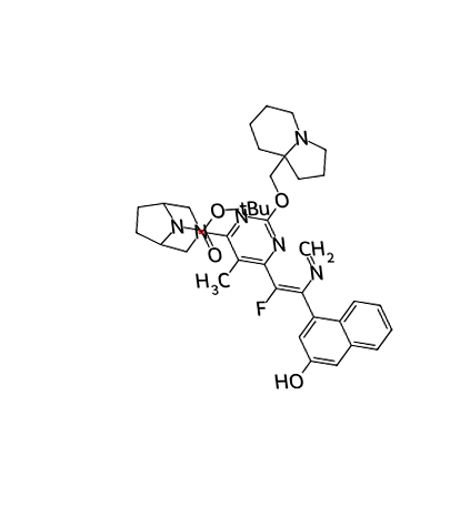 C=N/C(=C(/F)c1nc(OCC23CCCCN2CCC3)nc(N2CC3CCC(C2)N3C(=O)OC(C)(C)C)c1C)c1cc(O)cc2ccccc12